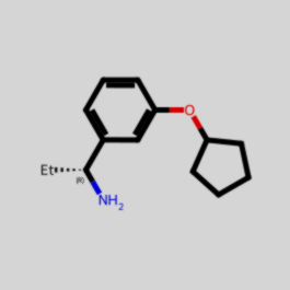 CC[C@@H](N)c1cccc(OC2CCCC2)c1